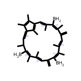 B/C1=C(C)/C(C)=C/C(=C)/C(C)=C(B)\C(C)=C\C2=C(C)C(=C\C(C)/C(B)=C(C)\C(C)=C\C1=C)/C(C)=C2C